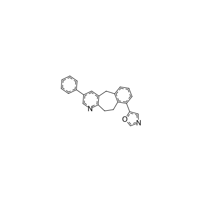 c1ccc(-c2cnc3c(c2)Cc2cccc(-c4cnco4)c2CC3)cc1